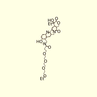 CCOCCOCCOCCOCCC(=O)N(C)Cc1c(O)ccc2nc3c(cc12)Cn1c-3cc2c(c1=O)COC(=O)[C@]2(O)CC